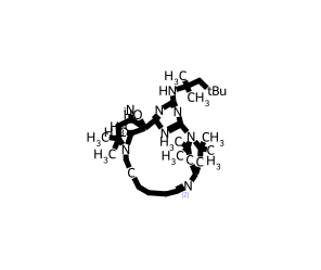 CC(C)(C)CC(C)(C)Nc1nc2nc(n1)C1(O)C([N])CC(C)(C)N(CCCCC/C=N\C3CC(C)(C)N2C(C)(C)C3)C1(C)C